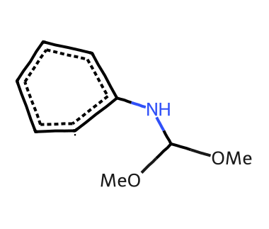 COC(Nc1[c]cccc1)OC